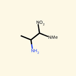 CNC(C(C)N)[N+](=O)[O-]